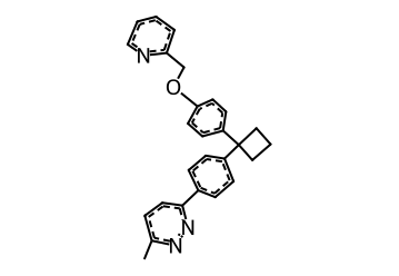 Cc1ccc(-c2ccc(C3(c4ccc(OCc5ccccn5)cc4)CCC3)cc2)nn1